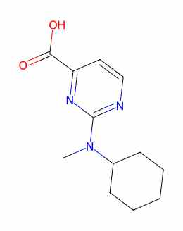 CN(c1nccc(C(=O)O)n1)C1CCCCC1